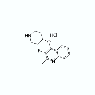 Cc1nc2ccccc2c(OC2CCNCC2)c1F.Cl